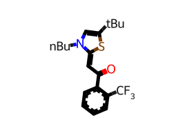 CCCCN1C=C(C(C)(C)C)S/C1=C\C(=O)c1ccccc1C(F)(F)F